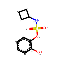 O=S(=O)(NC1CCC1)Oc1ccccc1O